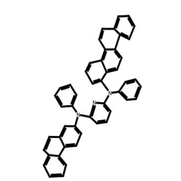 c1ccc(N(c2ccc3c(ccc4ccccc43)c2)c2cccc(N(c3ccccc3)c3cccc4c3ccc3c5ccccc5ccc43)n2)cc1